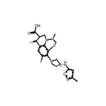 Cc1cc(N[C@@H]2CCN(c3c(F)cc4c5c3OCN(C)N5CC(C(=O)O)C4=O)C2)on1